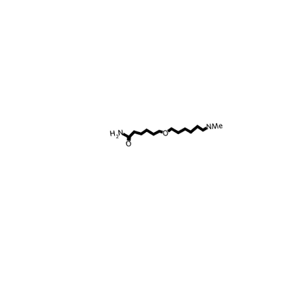 CNCCCCCCOCCCCCC(N)=O